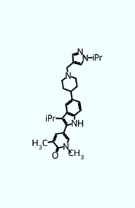 Cc1cc(-c2[nH]c3ccc(C4CCN(Cc5cnn(C(C)C)c5)CC4)cc3c2C(C)C)cn(C)c1=O